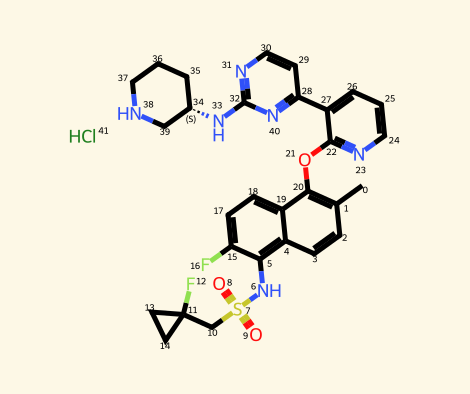 Cc1ccc2c(NS(=O)(=O)CC3(F)CC3)c(F)ccc2c1Oc1ncccc1-c1ccnc(N[C@H]2CCCNC2)n1.Cl